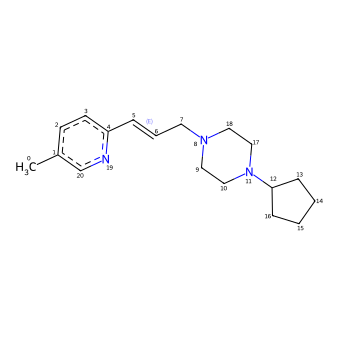 Cc1ccc(/C=C/CN2CCN(C3CCCC3)CC2)nc1